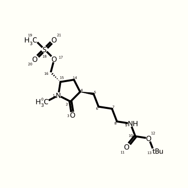 CN1C(=O)[C@H](CCCCNC(=O)OC(C)(C)C)C[C@H]1COS(C)(=O)=O